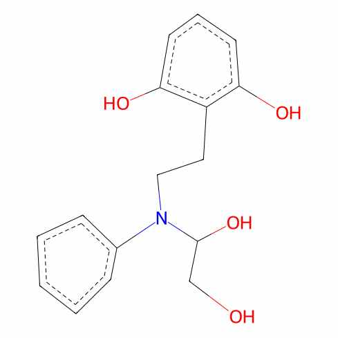 OCC(O)N(CCc1c(O)cccc1O)c1ccccc1